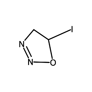 IC1CN=NO1